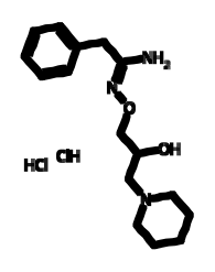 Cl.Cl.NC(Cc1ccccc1)=NOCC(O)CN1CCCCC1